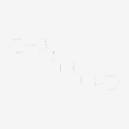 O=C(Nc1ccc(N2CCC(O)(c3cccc(F)c3F)CC2)nc1)c1nc(-c2ccccc2)oc1C(F)(F)F